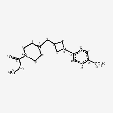 CC(C)(C)OC(=O)N1CCN(CC2CN(c3cnc(C(=O)O)cn3)C2)CC1